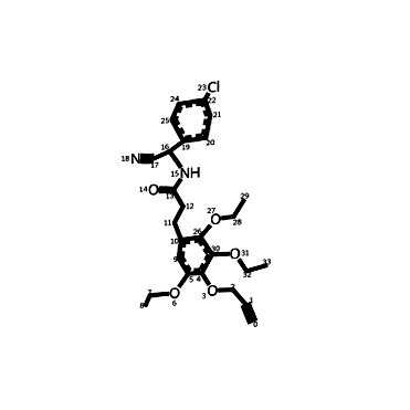 C#CCOc1c(OCC)cc(CCC(=O)NC(C#N)c2ccc(Cl)cc2)c(OCC)c1OCC